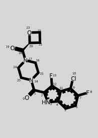 O=C(c1[nH]c2ccc(F)c(Cl)c2c1F)N1CCN(C(=O)[C@@H]2CCO2)CC1